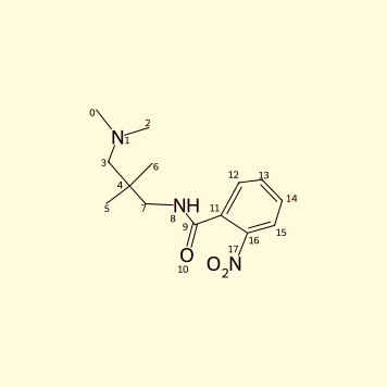 CN(C)CC(C)(C)CNC(=O)c1ccccc1[N+](=O)[O-]